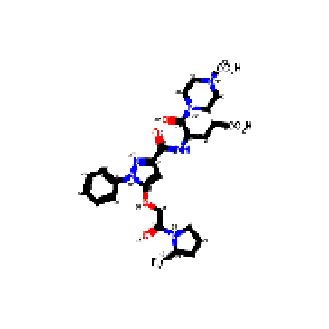 O=C(O)CCC(NC(=O)c1cc(OCC(=O)N2CCCC2C(F)(F)F)n(-c2ccccc2)n1)C(=O)N1CCN(C(=O)O)CC1